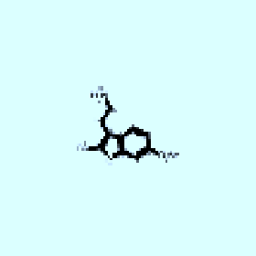 CCC(C)c1[nH]c2cc(OC)ccc2c1CCN